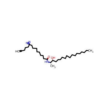 C#CCCCC1(CCCCCCCCC(=O)N[C@@H](C)[C@H](O)CCCCCCCCCCCCCCC)N=N1